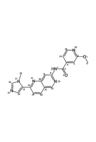 COc1cc(C(=O)Nc2cc3nc(-c4cncn4C)ccc3cn2)ccn1